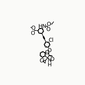 CCOC(=O)Nc1cc(C#Cc2ccc(OCC3=CONC3(c3c(Cl)cccc3Cl)C3CC3)cc2Cl)cc(C(=O)OC)c1